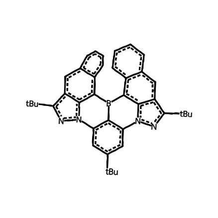 CC(C)(C)c1cc2c3c(c1)-n1nc(C(C)(C)C)c4cc5ccccc5c(c41)B3c1c3ccccc3cc3c(C(C)(C)C)nn-2c13